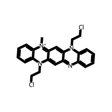 C[N+]1=c2cc3c(cc2N(CCCl)c2ccccc21)=Nc1ccccc1N3CCCl